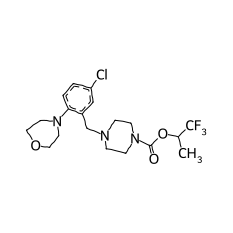 CC(OC(=O)N1CCN(Cc2cc(Cl)ccc2N2CCOCC2)CC1)C(F)(F)F